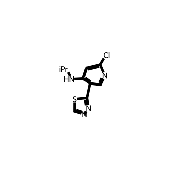 CC(C)Nc1cc(Cl)ncc1-c1nncs1